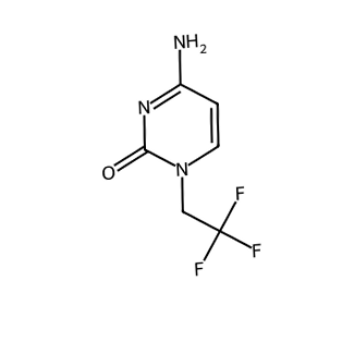 Nc1ccn(CC(F)(F)F)c(=O)n1